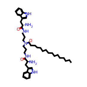 CCCCCCCCCCCCCCCC(=O)N(CCCNC(=O)[C@@H](N)Cc1c[nH]c2ccccc12)CCCNC(=O)[C@@H](N)Cc1c[nH]c2ccccc12